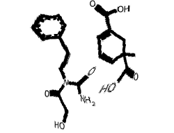 CC1(C(=O)O)C=CC=C(C(=O)O)C1.NC(=O)N(CCc1ccccc1)C(=O)CO